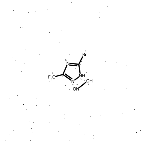 FC(F)(F)c1n[nH]c(Br)n1.O=NO